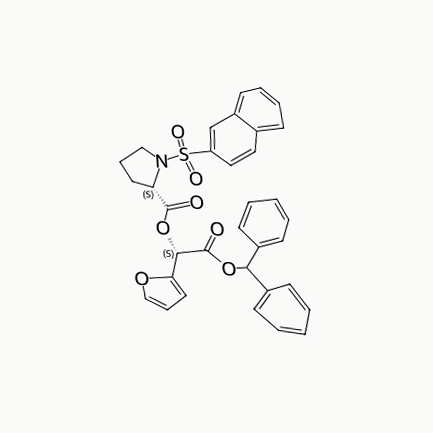 O=C(OC(c1ccccc1)c1ccccc1)[C@@H](OC(=O)[C@@H]1CCCN1S(=O)(=O)c1ccc2ccccc2c1)c1ccco1